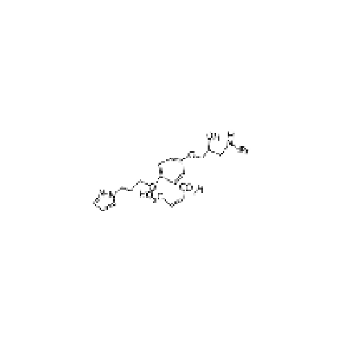 CC(C)NCC(O)COc1ccc(OCCCn2cccn2)cc1.O=C(O)/C=C\C(=O)O